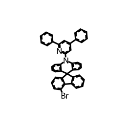 Brc1cccc2c1-c1ccccc1C21c2ccccc2N(c2cc(-c3ccccc3)cc(-c3ccccc3)n2)c2ccccc21